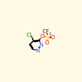 O=S(=O)(Oc1nnccc1Cl)C(F)(F)F